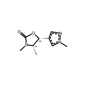 C[C@H]1[C@@H](c2cnn(C)c2)OC(=O)N1C